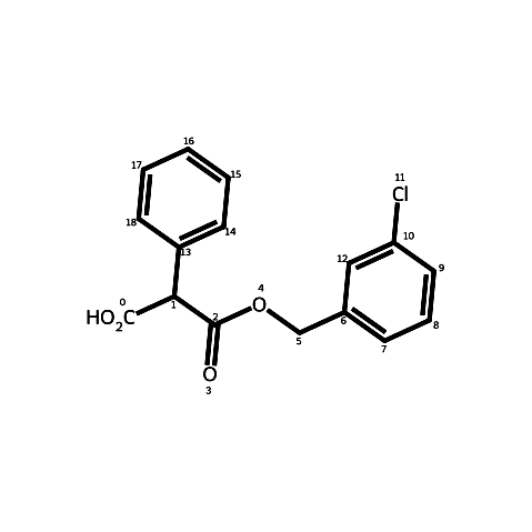 O=C(O)C(C(=O)OCc1cccc(Cl)c1)c1ccccc1